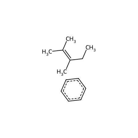 CCC(C)=C(C)C.c1ccccc1